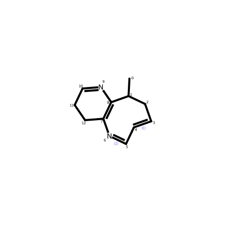 CC1C/C=C/C=N\C2=C1N=CCC2